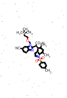 Cc1ccc(S(=O)(=O)n2ccc3c(C(C(=O)O)c4nc5ccc(C#N)cc5n4COCC[Si](C)(C)C)c(C)cc(C)c32)cc1